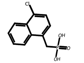 O=P(O)(O)Cc1ccc(Cl)c2ccccc12